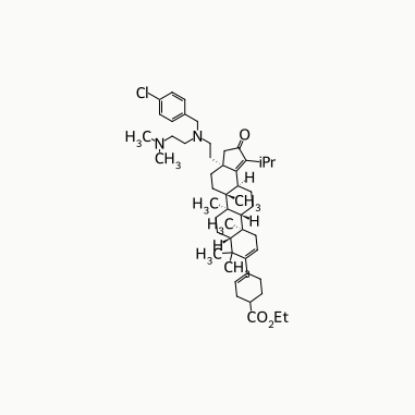 CCOC(=O)C1CC=C(C2=CC[C@]3(C)[C@H]4CC[C@@H]5C6=C(C(C)C)C(=O)C[C@]6(CCN(CCN(C)C)Cc6ccc(Cl)cc6)CC[C@@]5(C)[C@]4(C)CC[C@H]3C2(C)C)CC1